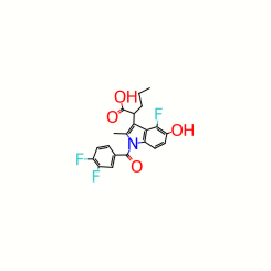 CCCC(C(=O)O)c1c(C)n(C(=O)c2ccc(F)c(F)c2)c2ccc(O)c(F)c12